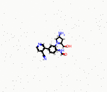 N#Cc1ccncc1-c1ccc(NC=O)c(N2CC(N)CC2CO)c1